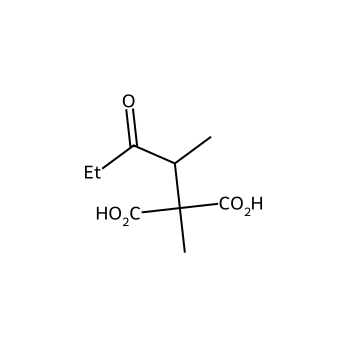 CCC(=O)C(C)C(C)(C(=O)O)C(=O)O